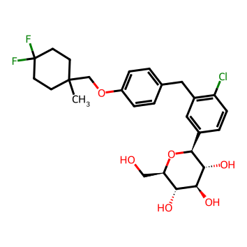 CC1(COc2ccc(Cc3cc([C@@H]4O[C@H](CO)[C@@H](O)[C@H](O)[C@H]4O)ccc3Cl)cc2)CCC(F)(F)CC1